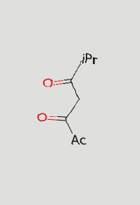 CC(=O)C(=O)CC(=O)C(C)C